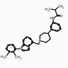 Cc1cccc(-n2ccc3c(CN4CCC(c5cccc(NC(=O)C(C)C)c5)CC4)cccc32)c1C